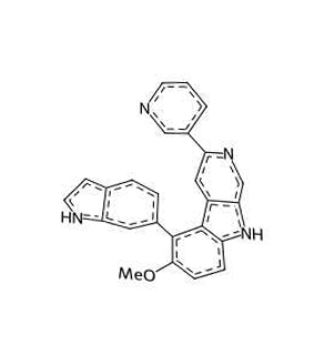 COc1ccc2[nH]c3cnc(-c4cccnc4)cc3c2c1-c1ccc2cc[nH]c2c1